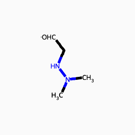 CN(C)NC[C]=O